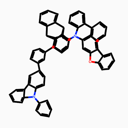 c1ccc(-c2ccccc2N(c2ccc3c(c2)oc2ccccc23)c2ccc(-c3cccc(-c4ccc5c(c4)c4ccccc4n5-c4ccccc4)c3)c3c2C2c4ccccc4C3c3ccccc32)cc1